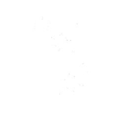 CCc1ccccc1-c1ccc(N2CC[C@H](Oc3ccc(C(F)(F)F)cn3)C2)c(CO)c1